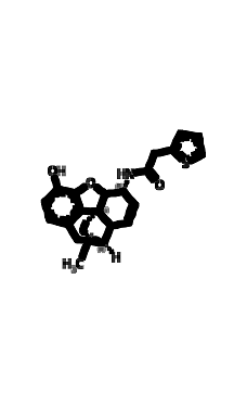 CN1CC[C@]23c4c5ccc(O)c4OC2[C@H](NC(=O)Cc2cccs2)C=CC3[C@H]1C5